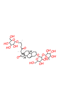 CC1O[C@@H](OC2[C@H](OC3CC[C@@]4(C)C(=CC[C@H]5[C@@H]6CC(=O)[C@H]([C@H](C)C(=O)CC[C@@H](C)CO[C@@H]7OC(CO)[C@@H](O)[C@H](O)C7O)[C@@]6(C)CC[C@@H]54)C3)OC(CO)[C@@H](O)[C@@H]2O)C(O)[C@@H](O)[C@H]1O